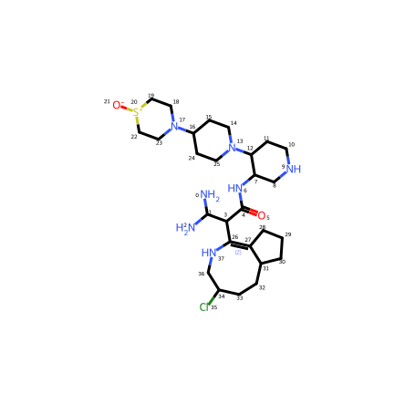 NC(N)C(C(=O)NC1CNCCC1N1CCC(N2CC[S+]([O-])CC2)CC1)/C1=C2\CCCC2CCC(Cl)CN1